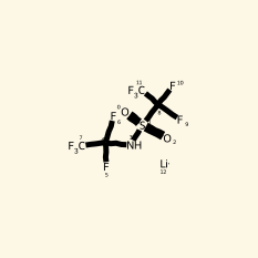 O=S(=O)(NC(F)(F)C(F)(F)F)C(F)(F)C(F)(F)F.[Li]